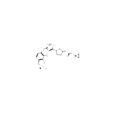 CC1(NC(=O)OC2CCC(c3cc(Nc4ccc5c(c4F)CS(=O)(=O)C5)n[nH]3)C2)CC1